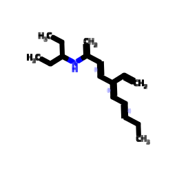 C=CC(/C=C/C(=C)NC(CC)CC)=C\C=C\CC